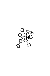 c1ccc(-c2cccc(N3B4c5cccc6c5N(c5ccccc5C65c6ccccc6-c6ccccc65)c5cc(C6CCCCC6)cc(c54)-c4cc(-c5ccccc5)ccc43)c2)cc1